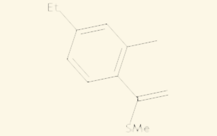 C=C(SC)c1ccc(CC)cc1C